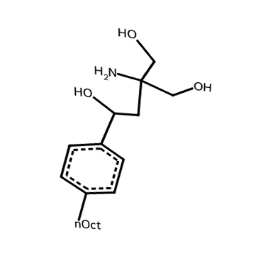 CCCCCCCCc1ccc(C(O)CC(N)(CO)CO)cc1